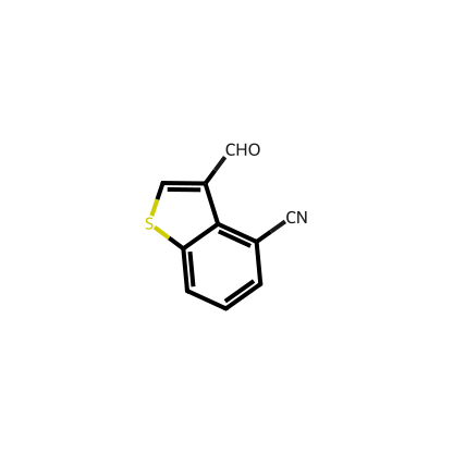 N#Cc1cccc2scc(C=O)c12